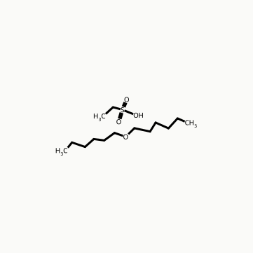 CCCCCCOCCCCCC.CCS(=O)(=O)O